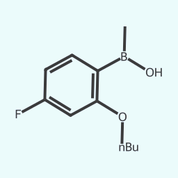 CCCCOc1cc(F)ccc1B(C)O